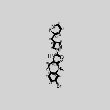 CN1C(=O)[C@H](NC(=O)n2cc(Cc3cccnn3)cn2)COc2ccc(Br)cc21